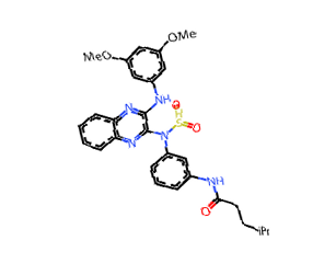 COc1cc(Nc2nc3ccccc3nc2N(c2cccc(NC(=O)CCC(C)C)c2)[SH](=O)=O)cc(OC)c1